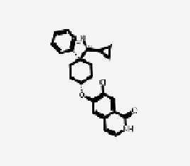 N[C@@H](C1CC1)[C@]1(c2ccccc2)CC[C@@H](Oc2cc3cc[nH]c(=O)c3cc2Cl)CC1